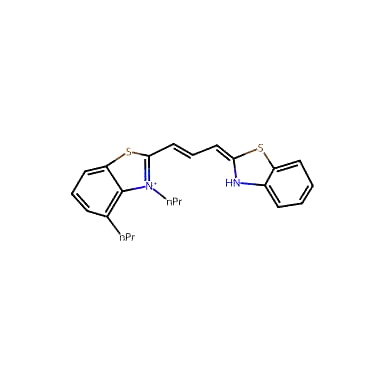 CCCc1cccc2sc(C=CC=C3Nc4ccccc4S3)[n+](CCC)c12